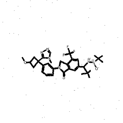 COC1CC(c2cccc(N3Cc4c(cc(C(N[S@+]([O-])C(C)(C)C)C(C)(C)C)cc4C(F)(F)F)C3=O)c2)(c2nncn2C)C1